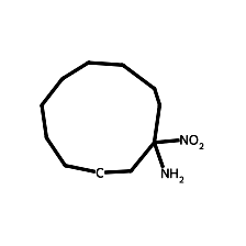 NC1([N+](=O)[O-])CCCCCCCCCC1